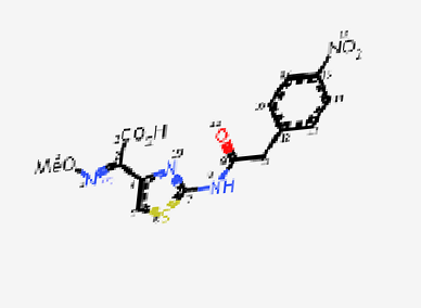 CO/N=C(\C(=O)O)c1csc(NC(=O)Cc2ccc([N+](=O)[O-])cc2)n1